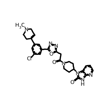 CN1CC=C(c2cc(Cl)cc(-c3nnc(CC(=O)N4CCC(n5c(=O)[nH]c6ncccc65)CC4)o3)c2)CC1